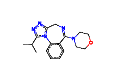 CC(C)c1nnc2n1-c1ccccc1C(N1CCOCC1)=NC2